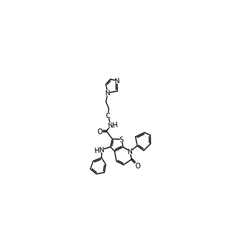 O=C(NCCCn1ccnc1)c1sc2c(ccc(=O)n2-c2ccccc2)c1Nc1ccccc1